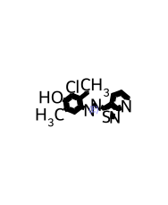 CCc1c(/N=N/c2snc3ncccc23)cc(C)c(O)c1Cl